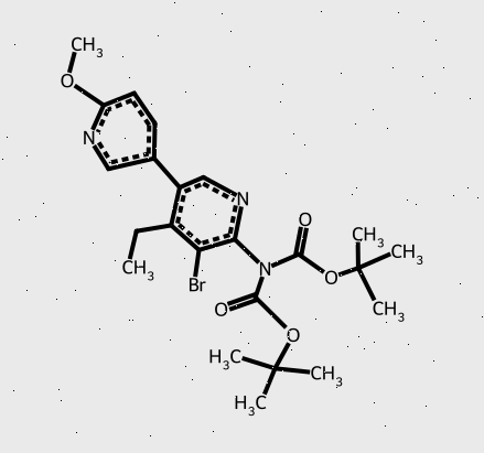 CCc1c(-c2ccc(OC)nc2)cnc(N(C(=O)OC(C)(C)C)C(=O)OC(C)(C)C)c1Br